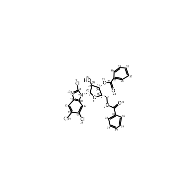 O=C(OC[C@@H]1O[C@H](n2c(Cl)nc3cc(Cl)c(Cl)cc32)[C@@H](O)[C@@H]1OC(=O)c1ccccc1)c1ccccc1